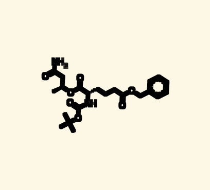 C[C@@H](CC(N)=O)OC(=O)[C@H](CCCC(=O)OCc1ccccc1)NC(=O)OC(C)(C)C